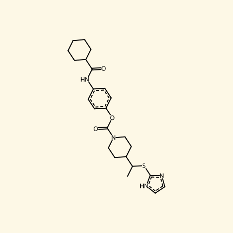 CC(Sc1ncc[nH]1)C1CCN(C(=O)Oc2ccc(NC(=O)C3CCCCC3)cc2)CC1